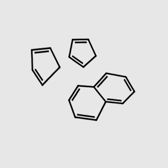 C1=CCC=C1.C1=CCC=C1.c1ccc2ccccc2c1